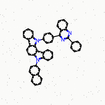 c1ccc(-c2nc(-c3ccc(-n4c5ccccc5c5ccc6c(c7ccccc7n6-c6ccc7ccccc7c6)c54)cc3)c3ccccc3n2)cc1